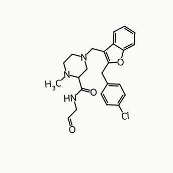 CN1CCN(Cc2c(Cc3ccc(Cl)cc3)oc3ccccc23)CC1C(=O)NCC=O